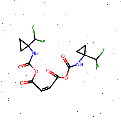 O=C(/C=C\C(=O)OC(=O)NC1(C(F)F)CC1)OC(=O)NC1(C(F)F)CC1